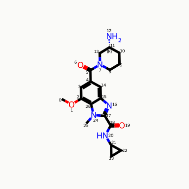 COc1cc(C(=O)N2CCC[C@@H](N)C2)cc2nc(C(=O)NC3CC3)n(C)c12